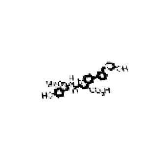 COC[C@H](Cc1ccc(O)cc1)NC(=O)c1cc(C(=O)O)c2cc(-c3cccc(CN4CC[C@@H](O)C4)c3)ccc2n1